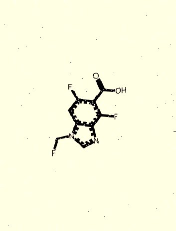 O=C(O)c1c(F)cc2c(ncn2CF)c1F